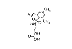 Cc1cc(C)c(S(=O)(=O)NCCNC(=O)O)c(C)c1